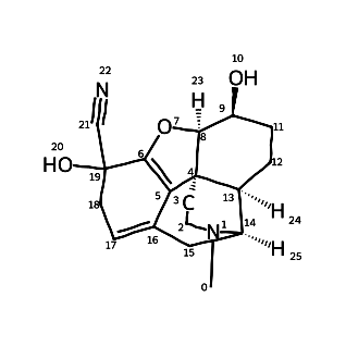 CN1CC[C@]23C4=C5O[C@H]2[C@@H](O)CC[C@H]3[C@H]1CC4=CCC5(O)C#N